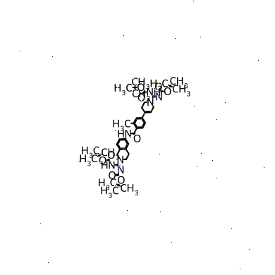 Cc1cc(C2=CCN(/C(=N/C(=O)OC(C)(C)C)NC(=O)OC(C)(C)C)CC2)ccc1C(=O)Nc1ccc2c(c1)CCN(/C(=N/C(=O)OC(C)(C)C)NC(=O)OC(C)(C)C)C2